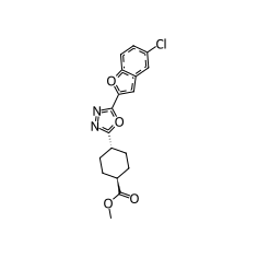 COC(=O)[C@H]1CC[C@H](c2nnc(-c3cc4cc(Cl)ccc4o3)o2)CC1